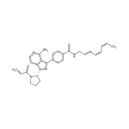 C=CC(=O)N1CCC[C@H]1c1nc(-c2ccc(C(=O)NC/C=N/C=C\C=C/C)cc2)c2c(N)nccn12